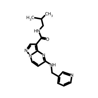 CC(C)CNC(=O)c1cnn2ccc(NCc3cccnc3)nc12